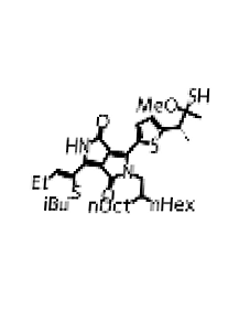 CC/C=C(\S[C@@H](C)CC)C1=C2C(=O)N(CC(CCCCCC)CCCCCCCC)C(c3ccc([C@@H](C)C(C)(S)OC)s3)=C2C(=O)N1